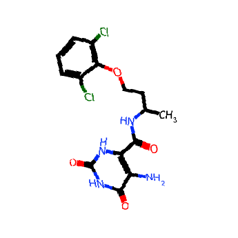 CC(CCOc1c(Cl)cccc1Cl)NC(=O)c1[nH]c(=O)[nH]c(=O)c1N